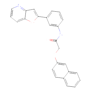 O=C(COc1ccc2ccccc2c1)Nc1cccc(-c2cc3ncccc3o2)c1